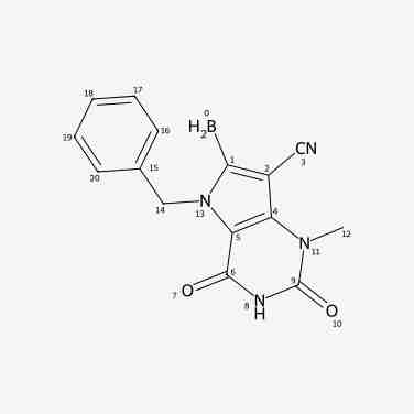 Bc1c(C#N)c2c(c(=O)[nH]c(=O)n2C)n1Cc1ccccc1